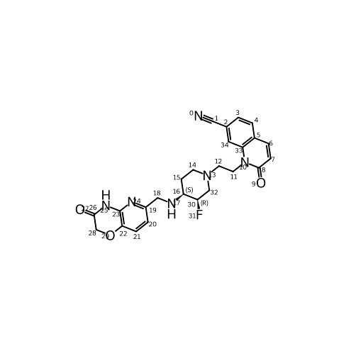 N#Cc1ccc2ccc(=O)n(CCN3CC[C@H](NCc4ccc5c(n4)NC(=O)CO5)[C@H](F)C3)c2c1